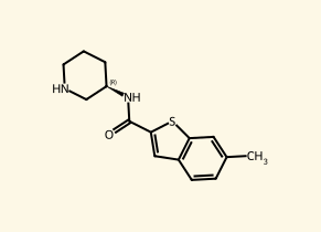 Cc1ccc2cc(C(=O)N[C@@H]3CCCNC3)sc2c1